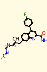 C=N/C=N\C=C(/C)Cc1ccc2c(-c3ccc(F)cc3)cc(C(N)=O)nc2c1